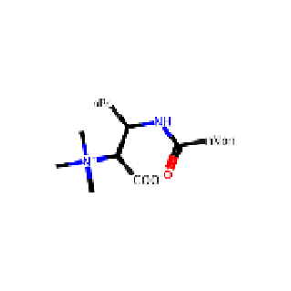 CCCCCCCCCC(=O)NC(CCC)C(C(=O)[O-])[N+](C)(C)C